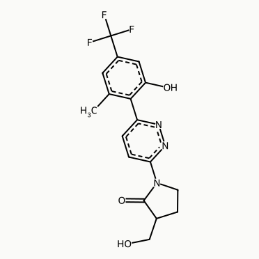 Cc1cc(C(F)(F)F)cc(O)c1-c1ccc(N2CCC(CO)C2=O)nn1